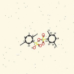 Cc1ccc(C)c(S(=O)(=O)OS(=O)(=O)c2cc(C)ccc2C)c1